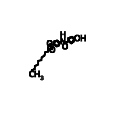 CCCCCCCCCCCCS(=O)(=O)c1ccc(NC(=O)c2ccc(O)cc2)cc1